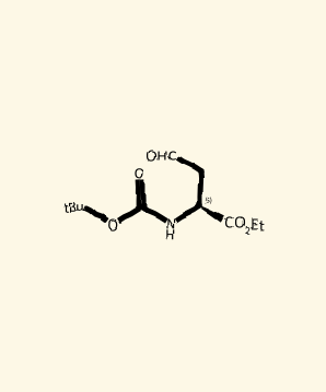 CCOC(=O)[C@H](CC=O)NC(=O)OC(C)(C)C